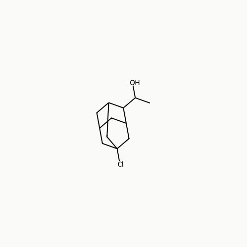 CC(O)C1C2CC3CC1CC(Cl)(C3)C2